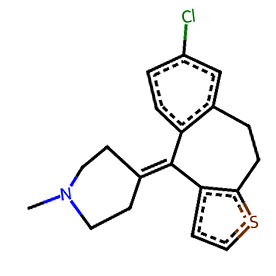 CN1CCC(=C2c3ccc(Cl)cc3CCc3sccc32)CC1